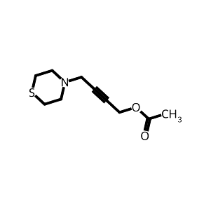 CC(=O)OCC#CCN1CCSCC1